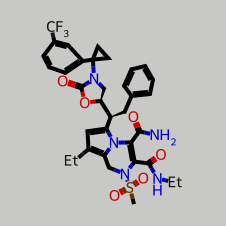 CCNC(=O)C1=C(C(N)=O)n2c([C@H](Cc3ccccc3)[C@@H]3CN(C4(c5cccc(C(F)(F)F)c5)CC4)C(=O)O3)cc(CC)c2CN1S(C)(=O)=O